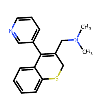 CN(C)CC1=C(c2cccnc2)c2ccccc2SC1